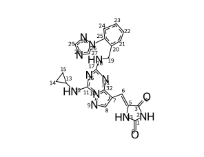 O=C1NC(=O)/C(=C/c2cnn3c(NC4CC4)nc(NCc4ccccc4-n4cncn4)nc23)N1